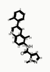 Cc1ccccc1-c1cnc2ccc(NC(=O)c3ccnn3C)c(C)c2c1